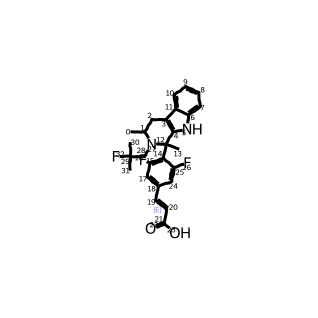 CC1Cc2c([nH]c3ccccc23)C(C)(c2c(F)cc(/C=C/C(=O)O)cc2F)N1CC(C)(C)F